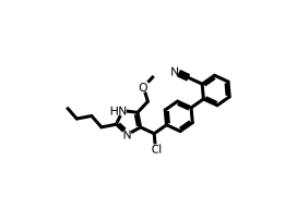 CCCCc1nc(C(Cl)c2ccc(-c3ccccc3C#N)cc2)c(COC)[nH]1